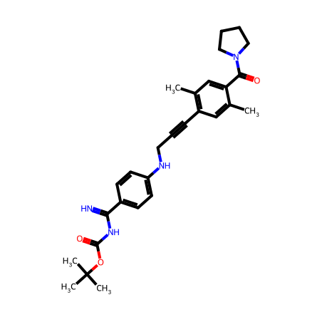 Cc1cc(C(=O)N2CCCC2)c(C)cc1C#CCNc1ccc(C(=N)NC(=O)OC(C)(C)C)cc1